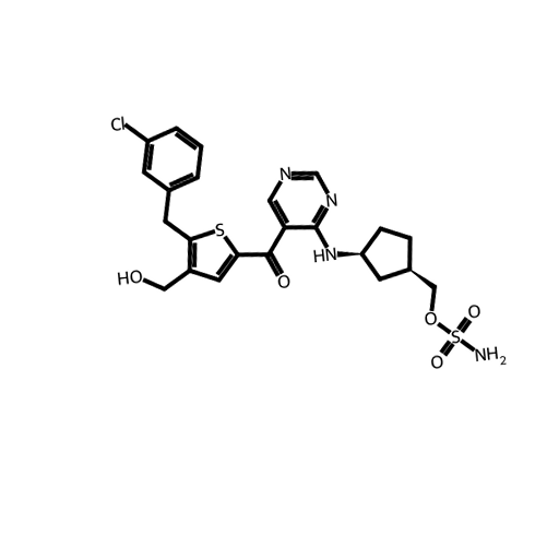 NS(=O)(=O)OC[C@@H]1CC[C@H](Nc2ncncc2C(=O)c2cc(CO)c(Cc3cccc(Cl)c3)s2)C1